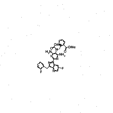 COC(=O)c1ccccc1CN(C(=O)OC)c1c(N)nc(-n2nc(Cc3ccccc3F)c3ncc(F)cc32)nc1N